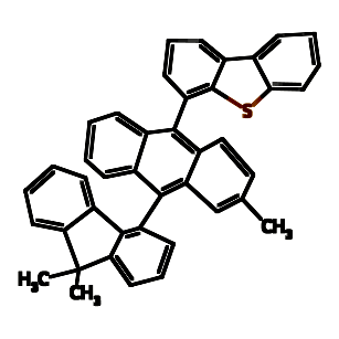 Cc1ccc2c(-c3cccc4c3sc3ccccc34)c3ccccc3c(-c3cccc4c3-c3ccccc3C4(C)C)c2c1